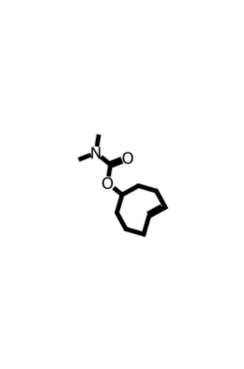 CN(C)C(=O)OC1CC/C=C/CCC1